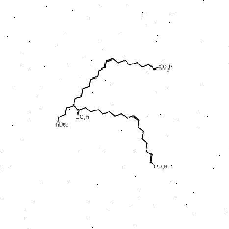 CCCCCCCCCCCCCC(CCCCCCCC/C=C\CCCCCCCC(=O)O)C(CCCCCCCC/C=C\CCCCCCCC(=O)O)C(=O)O